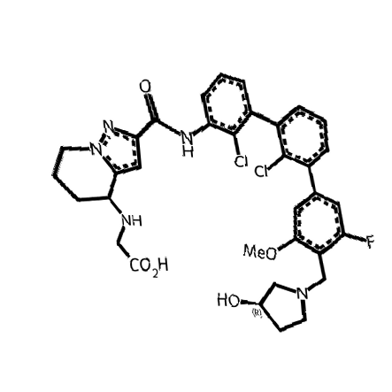 COc1cc(-c2cccc(-c3cccc(NC(=O)c4cc5n(n4)CCCC5NCC(=O)O)c3Cl)c2Cl)cc(F)c1CN1CC[C@@H](O)C1